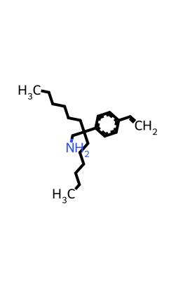 C=Cc1ccc(C(CN)(CCCCCC)CCCCCC)cc1